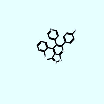 Cc1noc2nc(-c3ccc(F)cc3)c(-c3ccncc3)c(-c3ccccc3F)c12